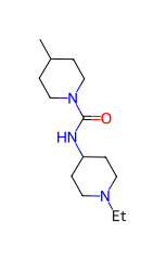 CCN1CCC(NC(=O)N2CCC(C)CC2)CC1